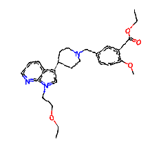 CCOCCn1cc(C2CCN(Cc3ccc(OC)c(C(=O)OCC)c3)CC2)c2cccnc21